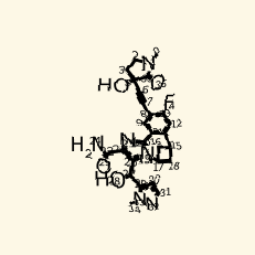 CN1CCC(O)(C#Cc2cc3c(cc2F)C2CC(C2)n2c-3nc(C(N)=O)c2C(O)c2ccnn2C)C1=O